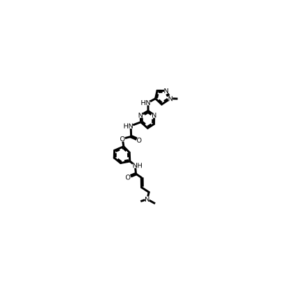 CN(C)C/C=C/C(=O)Nc1cccc(OC(=O)Nc2ccnc(Nc3cnn(C)c3)n2)c1